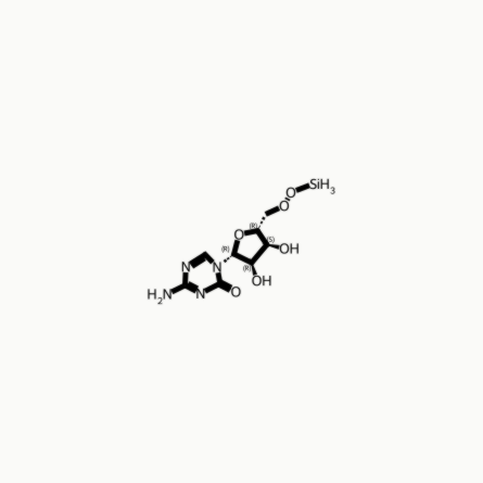 Nc1ncn([C@@H]2O[C@H](COO[SiH3])[C@@H](O)[C@H]2O)c(=O)n1